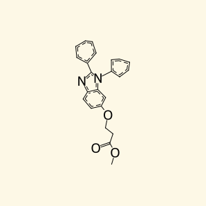 COC(=O)CCOc1ccc2nc(-c3ccccc3)n(-c3ccccc3)c2c1